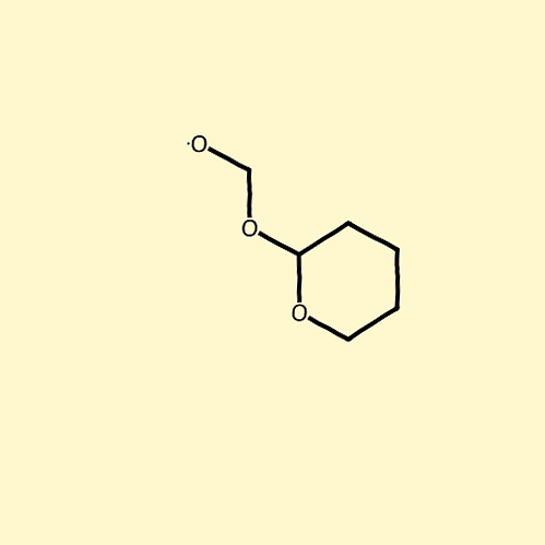 [O]COC1CCCCO1